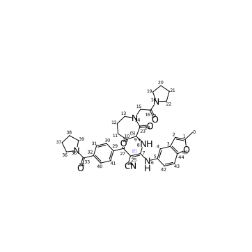 Cc1cc2cc(N/C(N[C@H]3CCCCN(CC(=O)N4CCCC4)C3=O)=C(\C#N)C(=O)c3ccc(C(=O)N4CCCC4)cc3)ccc2o1